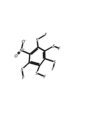 O=[N+]([O-])c1c(SF)c(SF)c(SF)c(SF)c1SF